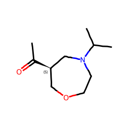 CC(=O)[C@@H]1COCCN(C(C)C)C1